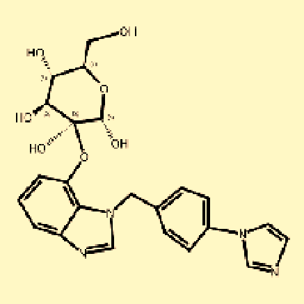 OC[C@H]1O[C@H](O)[C@@](O)(Oc2cccc3ncn(Cc4ccc(-n5ccnc5)cc4)c23)[C@@H](O)[C@@H]1O